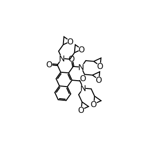 O=C(c1cc2ccccc2c(C(=O)N(CC2CO2)CC2CO2)c1C(=O)N(CC1CO1)CC1CO1)N(CC1CO1)CC1CO1